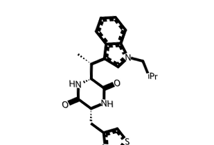 CC(C)Cn1cc([C@@H](C)[C@H]2NC(=O)[C@@H](Cc3cscn3)NC2=O)c2ccccc21